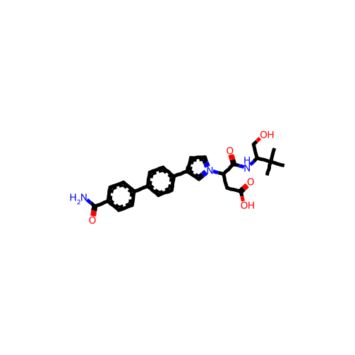 CC(C)(C)C(CO)NC(=O)C(CC(=O)O)n1ccc(-c2ccc(-c3ccc(C(N)=O)cc3)cc2)c1